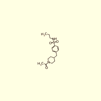 CCCNS(=O)(=O)c1ccc(CC2CCN(C(C)=O)CC2)cc1